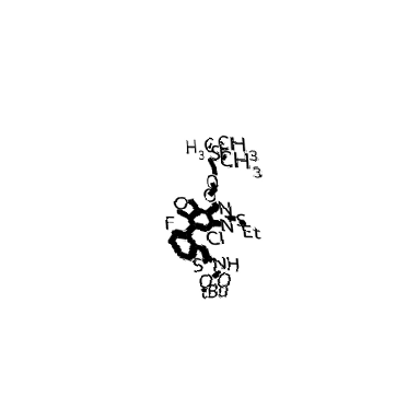 CCSc1nc(OCOCC[Si](C)(C)C)c2c3c(c(-c4c(F)ccc5sc(NC(=O)OC(C)(C)C)cc45)c(Cl)c2n1)COC3